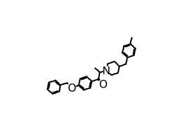 Cc1ccc(CC2CCN(C(C)C(=O)c3ccc(OCc4ccccc4)cc3)CC2)cc1